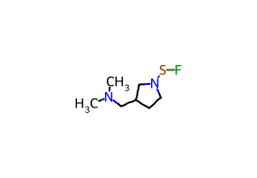 CN(C)CC1CCN(SF)C1